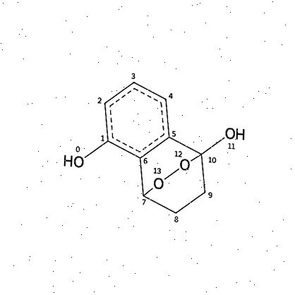 Oc1cccc2c1C1CCC2(O)OO1